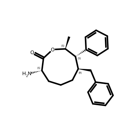 C[C@@H]1OC(=O)[C@@H](N)CCC[C@H](Cc2ccccc2)[C@H]1c1ccccc1